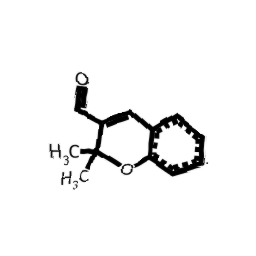 CC1(C)Oc2c[c]ccc2C=C1C=O